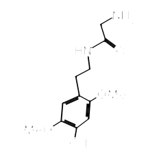 COc1cc(CCNC(=O)CN)c(OC)cc1O